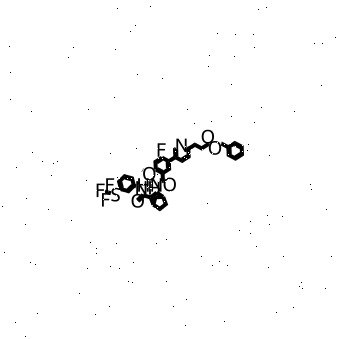 COc1cc(F)c(-c2ccc(CCC(=O)OCc3ccccc3)nc2)cc1C(=O)NC1C2CCC(C2)C1C(=O)Nc1cccc(SC(F)(F)F)c1